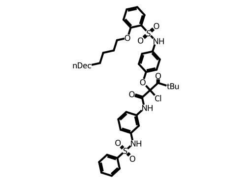 CCCCCCCCCCCCCCOc1ccccc1S(=O)(=O)Nc1ccc(OC(Cl)(C(=O)Nc2cccc(NS(=O)(=O)c3ccccc3)c2)C(=O)C(C)(C)C)cc1